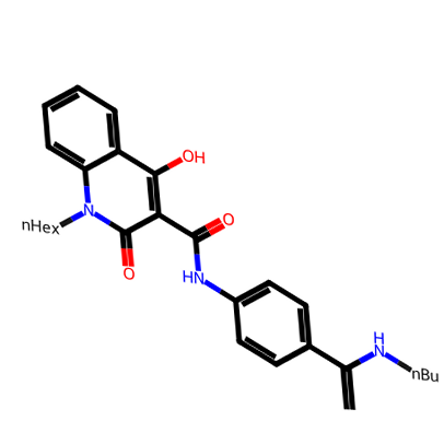 C=C(NCCCC)c1ccc(NC(=O)c2c(O)c3ccccc3n(CCCCCC)c2=O)cc1